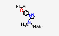 CCC(CC)Oc1ccc(-n2nccc2CN(C)CCNC)cc1